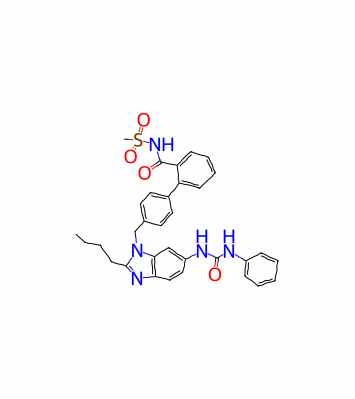 CCCCc1nc2ccc(NC(=O)Nc3ccccc3)cc2n1Cc1ccc(-c2ccccc2C(=O)NS(C)(=O)=O)cc1